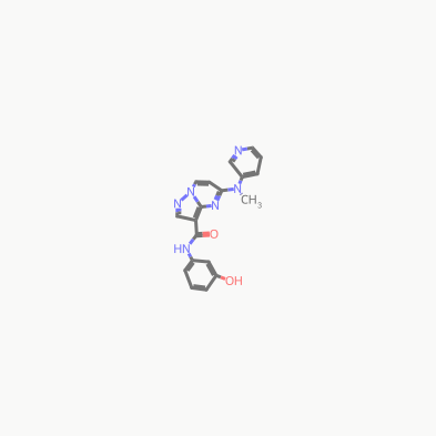 CN(c1cccnc1)c1ccn2ncc(C(=O)Nc3cccc(O)c3)c2n1